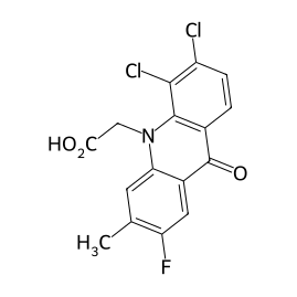 Cc1cc2c(cc1F)c(=O)c1ccc(Cl)c(Cl)c1n2CC(=O)O